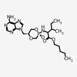 CCCCCOC(=O)C(NP1(=O)CO[C@@H](Cn2cnc3c(N)ncnc32)CO1)C(C)CC